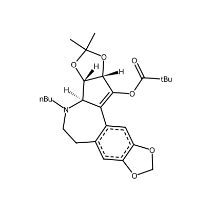 CCCCN1CCc2cc3c(cc2C2=C(OC(=O)C(C)(C)C)[C@H]4OC(C)(C)O[C@H]4[C@@H]21)OCO3